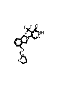 O=c1[nH]ncc(N2Cc3cccc(OC[C@H]4CCCO4)c3C2)c1C(F)(F)F